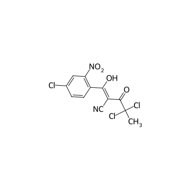 CC(Cl)(Cl)C(=O)/C(C#N)=C(\O)c1ccc(Cl)cc1[N+](=O)[O-]